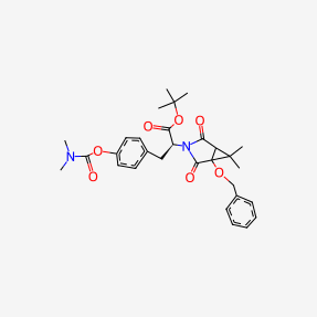 CN(C)C(=O)Oc1ccc(C[C@@H](C(=O)OC(C)(C)C)N2C(=O)C3C(C)(C)C3(OCc3ccccc3)C2=O)cc1